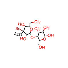 CC(=O)O[C@@]1(Br)[C@H](O)[C@@H](CO)O[C@H](O[C@H]2[C@H](O)[C@@H](O)[C@H](O)O[C@@H]2CO)[C@@H]1O